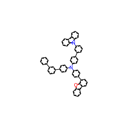 c1ccc(-c2cccc(-c3ccc(N(c4ccc(-c5cccc(-n6c7ccccc7c7ccccc76)c5)cc4)c4ccc(-c5cccc6c5oc5ccccc56)cc4)cc3)c2)cc1